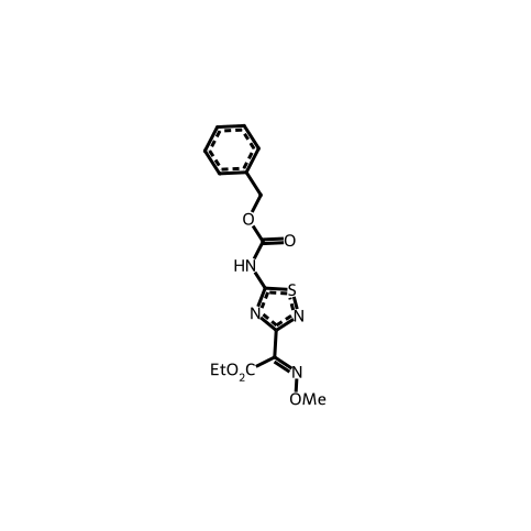 CCOC(=O)/C(=N\OC)c1nsc(NC(=O)OCc2ccccc2)n1